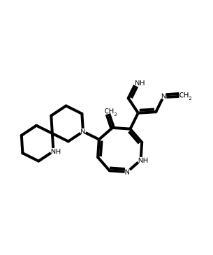 C=N/C=C(C=N)/C1=C/N/N=C\C=C(\N2CCCC3(CCCCN3)C2)C1=C